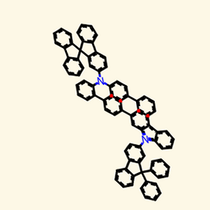 c1ccc(-c2ccc(N(c3ccc4c(c3)C3(c5ccccc5-c5ccccc53)c3ccccc3-4)c3ccccc3-c3ccc(-c4ccc5c6ccccc6n(-c6ccc7c(c6)C(c6ccccc6)(c6ccccc6)c6ccccc6-7)c5c4)cc3)cc2)cc1